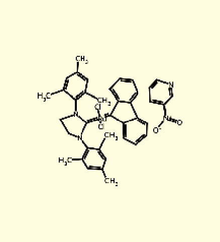 Cc1cc(C)c(N2CCN(c3c(C)cc(C)cc3C)[C]2=[Ru]([Cl])([Cl])=[C]2c3ccccc3-c3ccccc32)c(C)c1.O=[N+]([O-])c1cccnc1